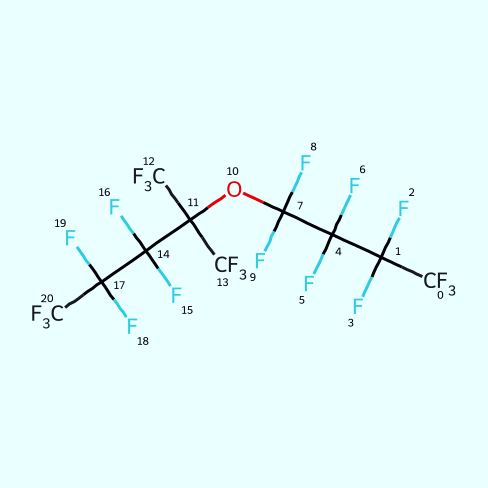 FC(F)(F)C(F)(F)C(F)(F)C(F)(F)OC(C(F)(F)F)(C(F)(F)F)C(F)(F)C(F)(F)C(F)(F)F